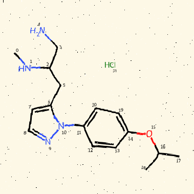 CNC(CN)Cc1ccnn1-c1ccc(OC(C)C)cc1.Cl